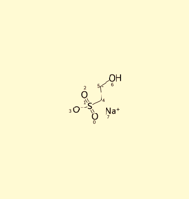 O=S(=O)([O-])C[CH]O.[Na+]